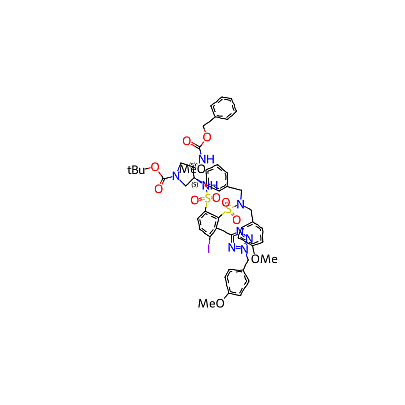 COc1ccc(CN(Cc2ccc(OC)cc2)S(=O)(=O)c2c(S(=O)(=O)N[C@H]3CN(C(=O)OC(C)(C)C)C[C@@H]3NC(=O)OCc3ccccc3)ccc(I)c2-c2nnn(Cc3ccc(OC)cc3)n2)cc1